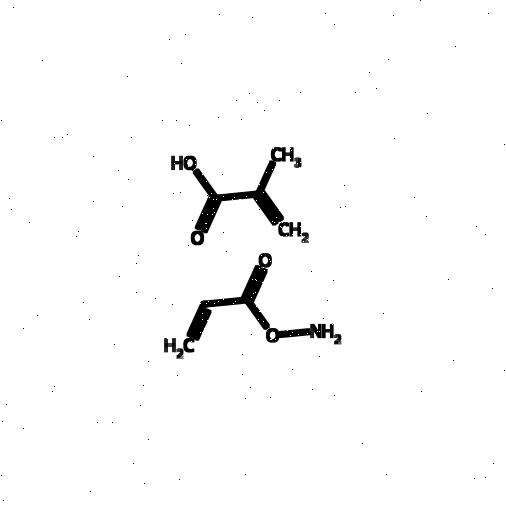 C=C(C)C(=O)O.C=CC(=O)ON